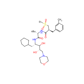 CCCC[C@H](NC(=O)[C@H](Cc1cccc(C)c1)CS(=O)(=O)CC)C(=O)N[C@@H](CC1CCCCC1)C(O)[C@@H](O)CN1CCOCC1